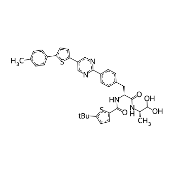 Cc1ccc(-c2ccc(-c3cnc(-c4ccc(C[C@H](NC(=O)c5ccc(C(C)(C)C)s5)C(=O)N[C@H](C)C(O)O)cc4)nc3)s2)cc1